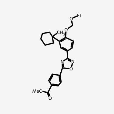 CCOCOc1ccc(-c2noc(-c3ccc(C(=O)OC)cc3)n2)cc1C1(C)CCCCC1